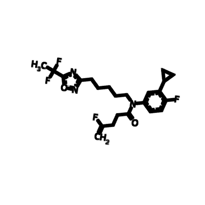 C=C(F)CCC(=O)N(CCCCCc1noc(C(C)(F)F)n1)c1ccc(F)c(C2CC2)c1